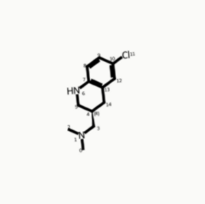 CN(C)C[C@H]1CNc2ccc(Cl)cc2C1